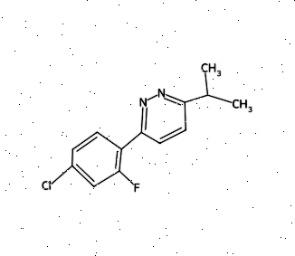 CC(C)c1ccc(-c2ccc(Cl)cc2F)nn1